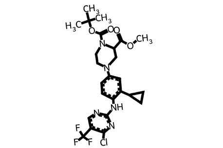 COC(=O)C1CN(c2ccc(Nc3ncc(C(F)(F)F)c(Cl)n3)c(C3CC3)c2)CCN1C(=O)OC(C)(C)C